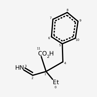 CCC(C=N)(Cc1ccccc1)C(=O)O